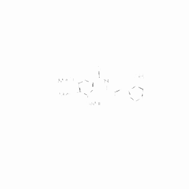 COc1cc(C(=O)N(CCCO)CC(C)=Cc2ccccc2)cc(OC)c1OC